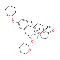 C[C@]12CC[C@@H]3c4ccc(OC5CCCCO5)cc4C[C@@H](OC4CCCCO4)[C@H]3[C@@H]1CCC2=O